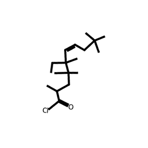 CCC(C)(/C=C\CC(C)(C)C)C(C)(C)CC(C)C(=O)Cl